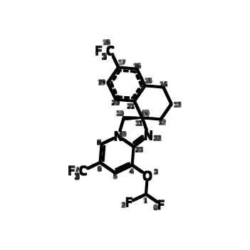 FC(F)OC1=CC(C(F)(F)F)=CN2C[C@@]3(CCCc4cc(C(F)(F)F)ccc43)N=C12